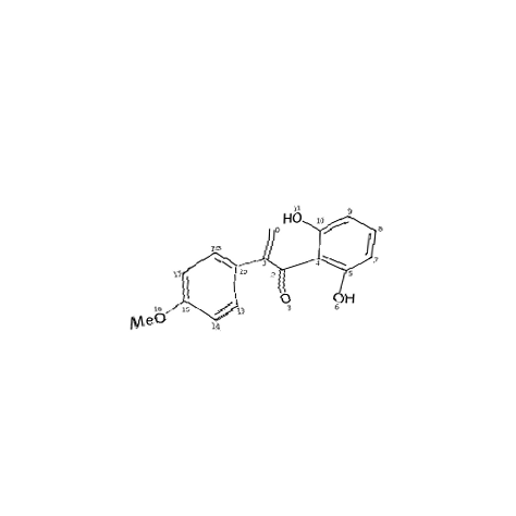 C=C(C(=O)c1c(O)cccc1O)c1ccc(OC)cc1